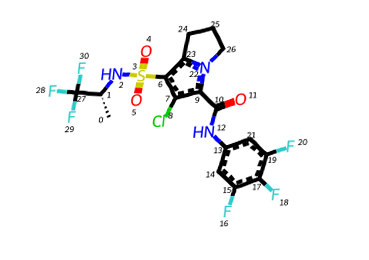 C[C@@H](NS(=O)(=O)c1c(Cl)c(C(=O)Nc2cc(F)c(F)c(F)c2)n2c1CCC2)C(F)(F)F